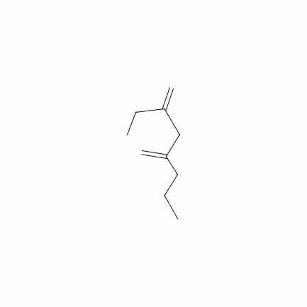 C=C(CC)CC(=C)CCC